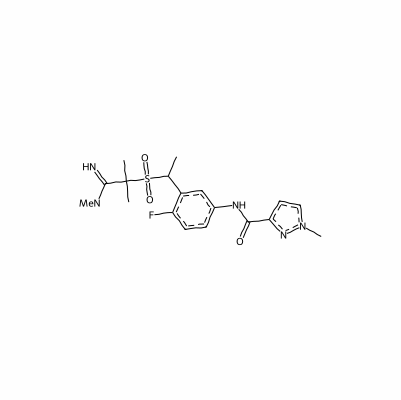 CNC(=N)C(C)(C)S(=O)(=O)C(C)c1cc(NC(=O)c2ccn(C)n2)ccc1F